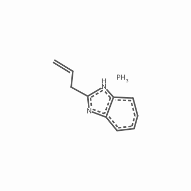 C=CCc1nc2ccccc2[nH]1.P